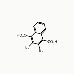 CCc1c(CC)c(C(=O)O)c2ccccc2c1C(=O)O